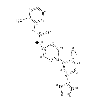 Cc1ccccc1CC(=O)Nc1ccc(-c2cc(-c3ncco3)ccc2C)cc1